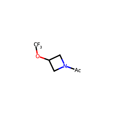 CC(=O)N1CC(OC(F)(F)F)C1